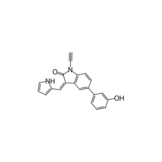 C#CN1C(=O)C(=Cc2ccc[nH]2)c2cc(-c3cccc(O)c3)ccc21